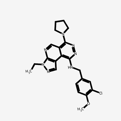 CCn1ncc2c3c(NCc4ccc(OC)c(Cl)c4)nnc(N4CCCC4)c3cnc21